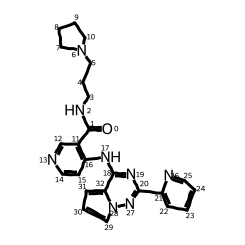 O=C(NCCCN1CCCC1)c1cnccc1Nc1nc(-c2ccccn2)nn2cccc12